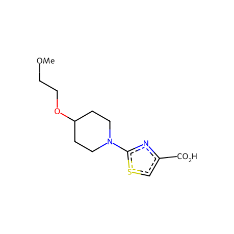 COCCOC1CCN(c2nc(C(=O)O)cs2)CC1